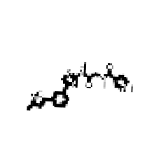 Cc1cc(-c2cccc(-c3csc(NC(=O)CNC(=O)c4cc[nH]c4)n3)c2)on1